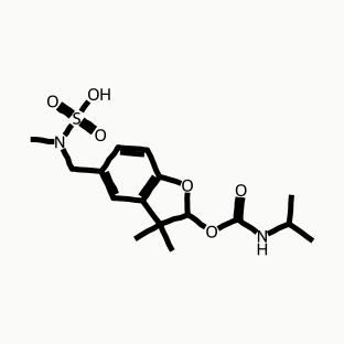 CC(C)NC(=O)OC1Oc2ccc(CN(C)S(=O)(=O)O)cc2C1(C)C